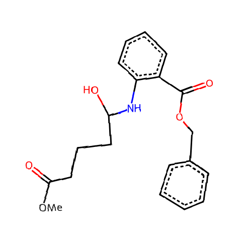 COC(=O)CCCC(O)Nc1ccccc1C(=O)OCc1ccccc1